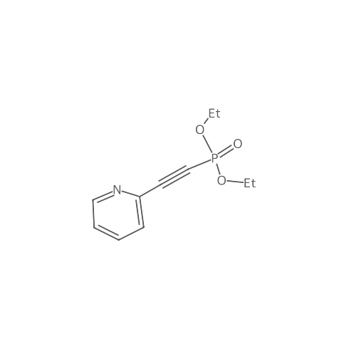 CCOP(=O)(C#Cc1ccccn1)OCC